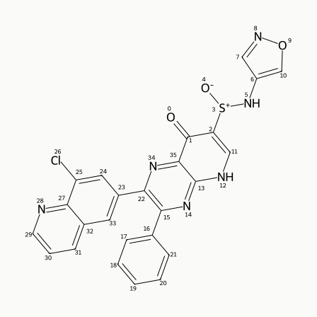 O=c1c([S+]([O-])Nc2cnoc2)c[nH]c2nc(-c3ccccc3)c(-c3cc(Cl)c4ncccc4c3)nc12